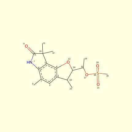 Cc1cc2c(c3c1NC(=O)C3(C)C)OC(C(C)OS(C)(=O)=O)C2C